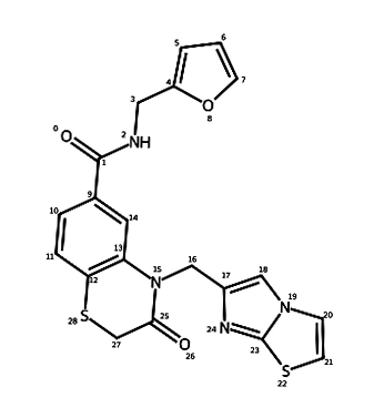 O=C(NCc1ccco1)c1ccc2c(c1)N(Cc1cn3ccsc3n1)C(=O)CS2